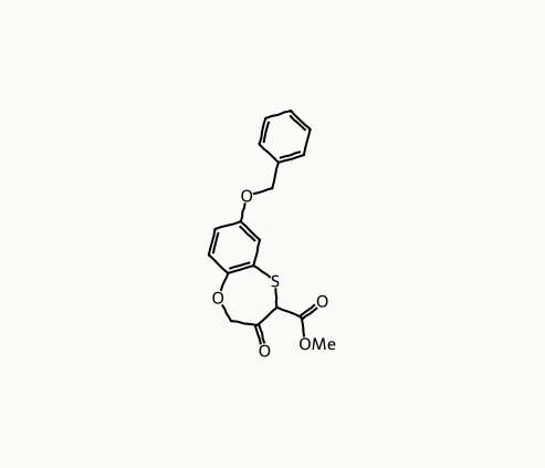 COC(=O)C1Sc2cc(OCc3ccccc3)ccc2OCC1=O